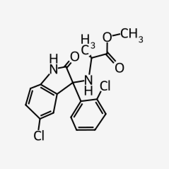 COC(=O)[C@H](C)NC1(c2ccccc2Cl)C(=O)Nc2ccc(Cl)cc21